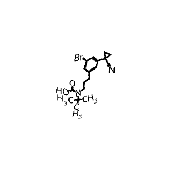 CC(C)(C)N(CCCc1cc(Br)cc(C2(C#N)CC2)c1)C(=O)O